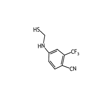 N#Cc1ccc(NCS)cc1C(F)(F)F